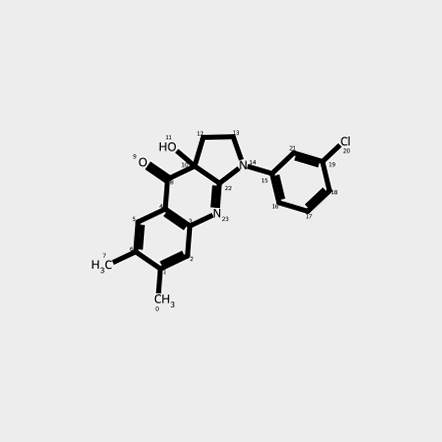 Cc1cc2c(cc1C)C(=O)C1(O)CCN(c3cccc(Cl)c3)C1=N2